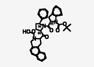 CC(C)(C)OC(=O)N1c2ccccc2C[C@@H]1C(=O)N1[C@@H](C(=O)C2Cc3c(ccc4ccccc34)CN2C(=O)O)CC[C@H]1c1ccccc1